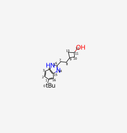 CC(C)(C)c1ccc2[nH]c(CCC3CC(O)C3)nc2c1